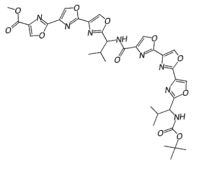 COC(=O)c1coc(-c2coc(-c3coc(C(NC(=O)c4coc(-c5coc(-c6coc(C(NC(=O)OC(C)(C)C)C(C)C)n6)n5)n4)C(C)C)n3)n2)n1